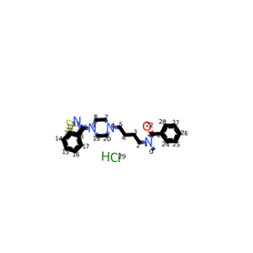 CN(CCCCN1CCN(c2nsc3ccccc23)CC1)C(=O)c1ccccc1.Cl